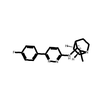 C[C@@H]1[C@@H](Nc2ccc(-c3ccc(F)cc3)nn2)C2CCN1CC2